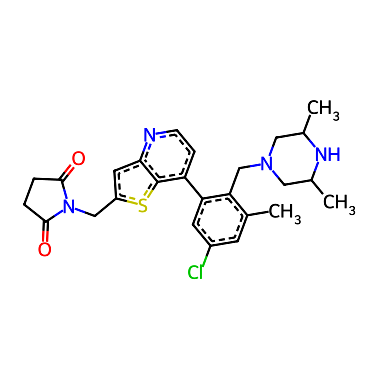 Cc1cc(Cl)cc(-c2ccnc3cc(CN4C(=O)CCC4=O)sc23)c1CN1CC(C)NC(C)C1